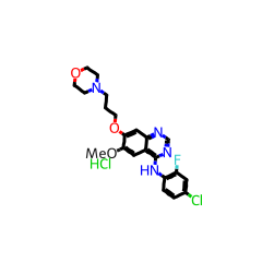 COc1cc2c(Nc3ccc(Cl)cc3F)ncnc2cc1OCCCN1CCOCC1.Cl